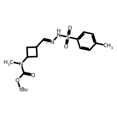 Cc1ccc(S(=O)(=O)N/N=C/C2CC(N(C)C(=O)OC(C)(C)C)C2)cc1